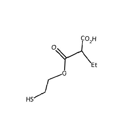 CCC(C(=O)O)C(=O)OCCS